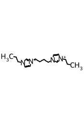 CCCn1cc[n+](CCCCn2cc[n+](CCC)c2)c1